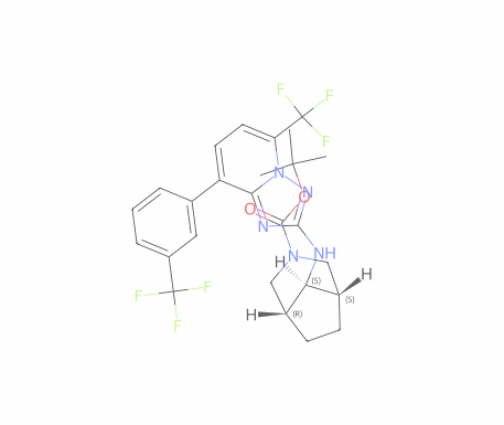 CC(C)(C)OC(=O)N1C[C@H]2CC[C@@H](C1)[C@@H]2Nc1nc2c(-c3cccc(C(F)(F)F)c3)ccc(C(F)(F)F)n2n1